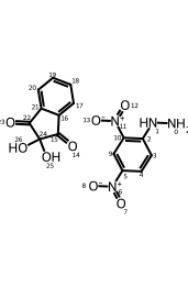 NNc1ccc([N+](=O)[O-])cc1[N+](=O)[O-].O=C1c2ccccc2C(=O)C1(O)O